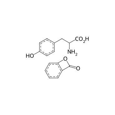 NC(Cc1ccc(O)cc1)C(=O)O.O=C1Oc2ccccc21